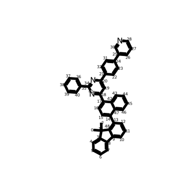 CC1(C)c2ccccc2-c2cccc(-c3ccc(-c4cc(-c5ccc(-c6cccnc6)cc5)nc(-c5ccccc5)n4)c4ccccc34)c21